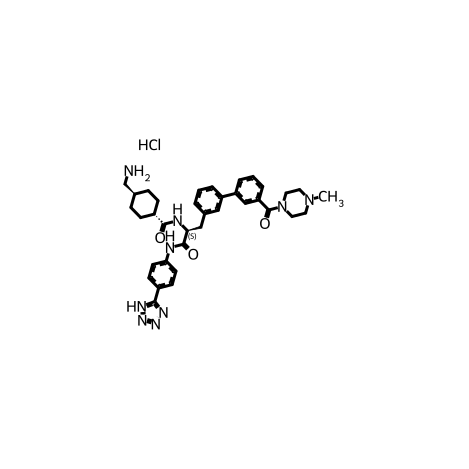 CN1CCN(C(=O)c2cccc(-c3cccc(C[C@H](NC(=O)[C@H]4CC[C@H](CN)CC4)C(=O)Nc4ccc(-c5nnn[nH]5)cc4)c3)c2)CC1.Cl